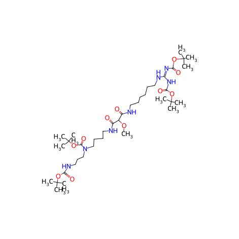 COC(C(=O)NCCCCCCN/C(=N/C(=O)OC(C)(C)C)NC(=O)OC(C)(C)C)C(=O)NCCCCN(CCCNC(=O)OC(C)(C)C)C(=O)OC(C)(C)C